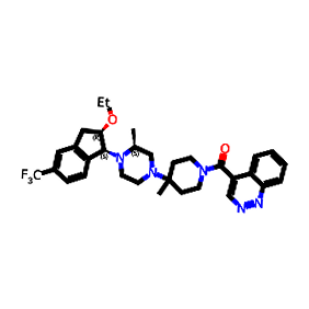 CCO[C@@H]1Cc2cc(C(F)(F)F)ccc2[C@@H]1N1CCN(C2(C)CCN(C(=O)c3cnnc4ccccc34)CC2)C[C@@H]1C